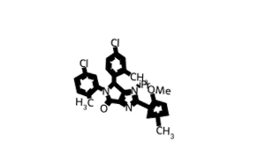 COc1ccc(C)cc1-c1nc2c(n1C(C)C)C(c1ccc(Cl)cc1C)N(c1cc(Cl)ccc1C)C2=O